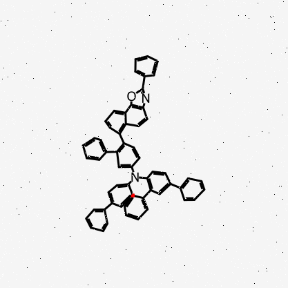 c1ccc(-c2ccc(N(c3ccc(-c4cccc5c4ccc4nc(-c6ccccc6)oc45)c(-c4ccccc4)c3)c3ccc(-c4ccccc4)cc3-c3ccccc3)cc2)cc1